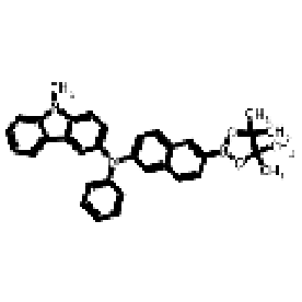 Cn1c2ccccc2c2cc(N(c3ccccc3)c3ccc4cc(B5OC(C)(C)C(C)(C)O5)ccc4c3)ccc21